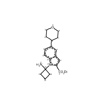 CCOC(=O)c1cc2cc(C3CCOCC3)ccc2n1C1(N)CCC1